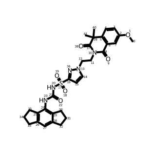 COc1ccc2c(c1)C(=O)N(CCn1ccc(S(=O)(=O)NC(=O)Nc3c4c(cc5c3CCC5)CCC4)n1)C(=O)C2(C)C